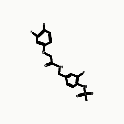 CS(=O)(=O)Nc1ccc(CNC(=O)COc2ccc(F)c(F)c2)cc1F